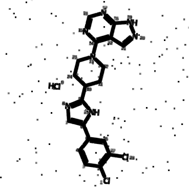 Cl.Clc1ccc(-c2cnc(C3CCN(c4ncnc5[nH]ncc45)CC3)[nH]2)cc1Cl